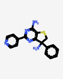 Nc1nc(-c2ccncc2)nc2c1SCC2(N)c1ccccc1